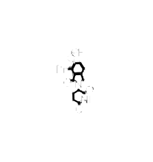 O=C1CCC(N2Cc3ccc(OC(F)(F)F)c(Br)c3C2=O)C(=O)N1